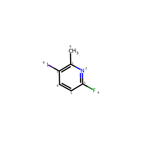 Cc1nc(F)ccc1I